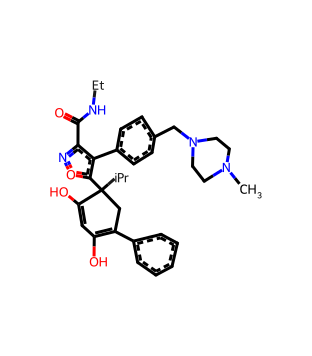 CCNC(=O)c1noc(C2(C(C)C)CC(c3ccccc3)=C(O)C=C2O)c1-c1ccc(CN2CCN(C)CC2)cc1